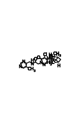 Cc1cncnc1CNC(=O)Cn1ncc(N[C@@H]2C[C@@H]3C[C@H]([C@H]2C)C3(C)C)c(Cl)c1=O